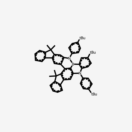 CC(C)(C)c1ccc(N2B3c4cc(C(C)(C)C)ccc4N(c4ccc(C(C)(C)C)cc4)c4cc5c(c(c43)-c3cc4c(cc32)C(C)(C)c2ccccc2-4)C(C)(C)c2ccccc2-5)cc1